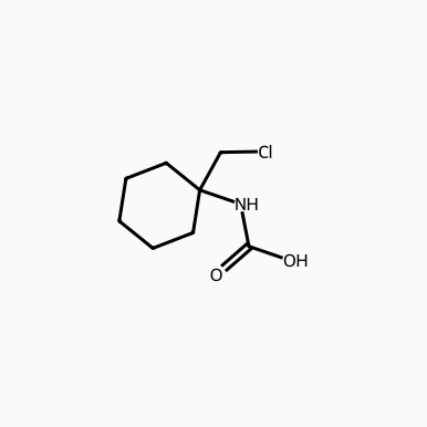 O=C(O)NC1(CCl)CCCCC1